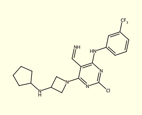 N=Cc1c(Nc2cccc(C(F)(F)F)c2)nc(Cl)nc1N1CC(NC2CCCC2)C1